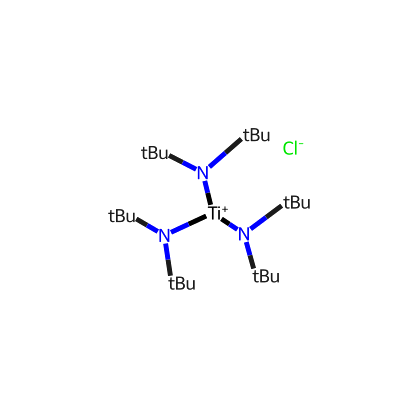 CC(C)(C)[N]([Ti+]([N](C(C)(C)C)C(C)(C)C)[N](C(C)(C)C)C(C)(C)C)C(C)(C)C.[Cl-]